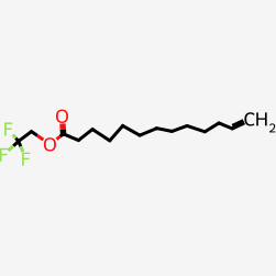 C=CCCCCCCCCCCC(=O)OCC(F)(F)F